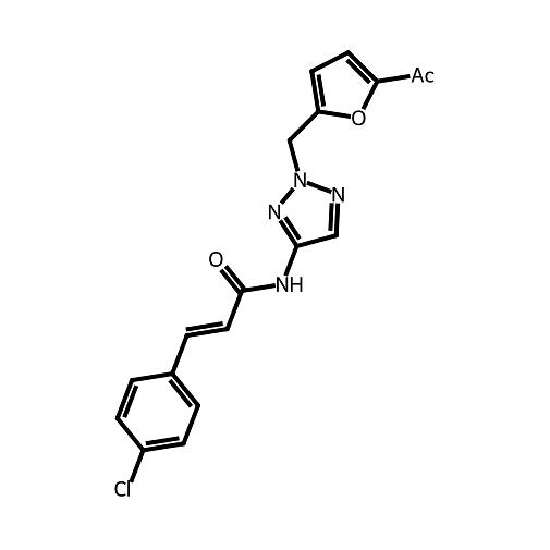 CC(=O)c1ccc(Cn2ncc(NC(=O)C=Cc3ccc(Cl)cc3)n2)o1